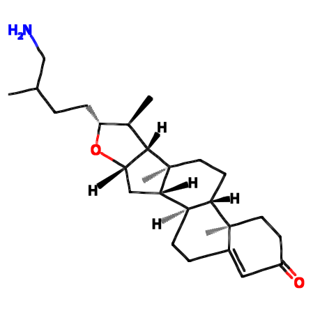 CC(CN)CC[C@H]1O[C@H]2C[C@H]3[C@@H]4CCC5=CC(=O)CC[C@]5(C)[C@H]4CC[C@]3(C)[C@H]2[C@@H]1C